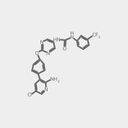 Nc1ncc(Cl)cc1-c1ccc(Oc2ncc(NC(=O)Nc3cccc(C(F)(F)F)c3)cn2)cc1